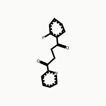 O=C(CCC(=O)c1ccccc1F)c1ccccn1